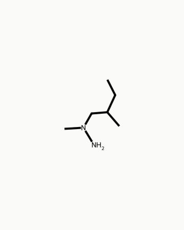 CCC(C)CN(C)N